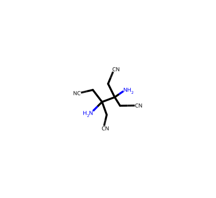 N#CCC(N)(CC#N)C(N)(CC#N)CC#N